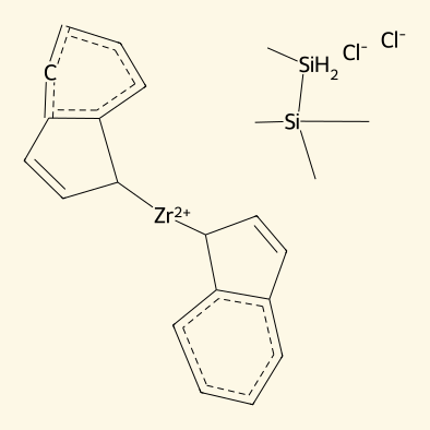 C1=C[CH]([Zr+2][CH]2C=Cc3ccccc32)c2ccccc21.C[SiH2][Si](C)(C)C.[Cl-].[Cl-]